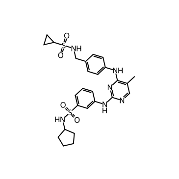 Cc1cnc(Nc2cccc(S(=O)(=O)NC3CCCC3)c2)nc1Nc1ccc(CNS(=O)(=O)C2CC2)cc1